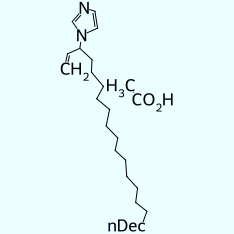 C=CC(CCCCCCCCCCCCCCCCCCCCCCC)n1ccnc1.CC(=O)O